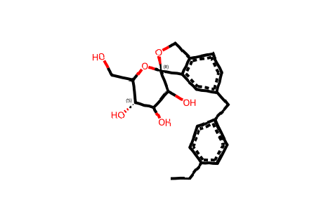 CCc1ccc(Cc2ccc3c(c2)[C@@]2(OC3)OC(CO)[C@@H](O)C(O)C2O)cc1